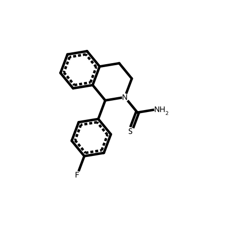 NC(=S)N1CCc2ccccc2C1c1ccc(F)cc1